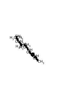 CCCCCC(=O)Nc1ccc(COC(=O)NCCCOC(C)(C)COC(C)(C)CCCNC(=O)CCC(C)(C)[SiH3])cc1